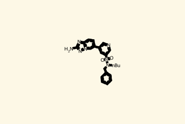 CCCCN(Cc1ccccc1)S(=O)(=O)c1cncc(-c2ccc3nc(N)nn3c2)c1